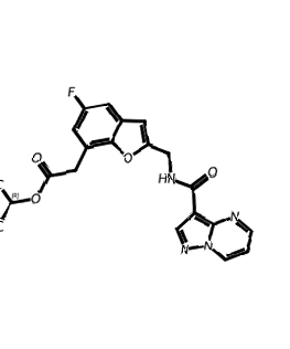 C[C@@H](OC(=O)Cc1cc(F)cc2cc(CNC(=O)c3cnn4cccnc34)oc12)C(F)(F)F